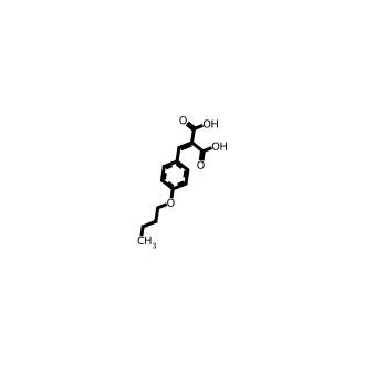 CCCCOc1ccc(C=C(C(=O)O)C(=O)O)cc1